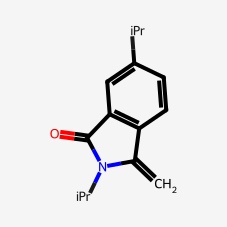 C=C1c2ccc(C(C)C)cc2C(=O)N1C(C)C